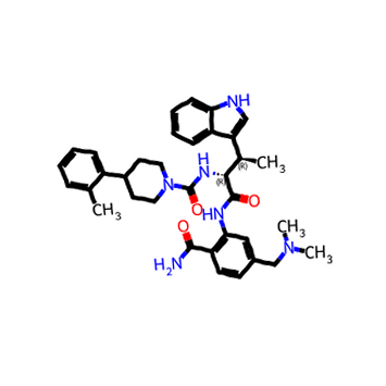 Cc1ccccc1C1CCN(C(=O)N[C@@H](C(=O)Nc2cc(CN(C)C)ccc2C(N)=O)[C@H](C)c2c[nH]c3ccccc23)CC1